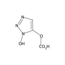 O=C(O)Oc1cnnn1O